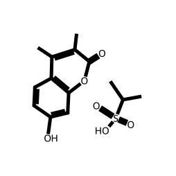 CC(C)S(=O)(=O)O.Cc1c(C)c2ccc(O)cc2oc1=O